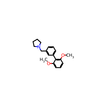 COc1cccc(OC)c1-c1cccc(CN2CCCC2)c1